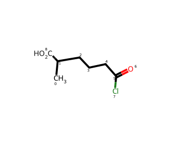 CC(CCCC(=O)Cl)C(=O)O